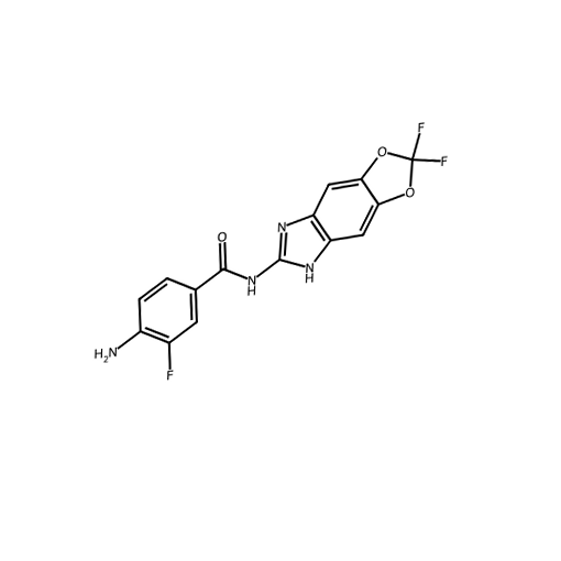 Nc1ccc(C(=O)Nc2nc3cc4c(cc3[nH]2)OC(F)(F)O4)cc1F